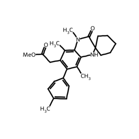 COC(=O)Cc1c(C)c2c(c(C)c1-c1ccc(C)cc1)NC1(CCCCC1)C(=O)N2C